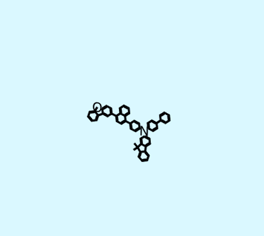 CC1(C)c2ccccc2-c2ccc(N(c3ccc(-c4ccccc4)cc3)c3ccc(-c4ccc(-c5ccc6oc7ccccc7c6c5)c5ccccc45)cc3)cc21